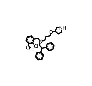 FC(F)(F)c1cccc(CN(CCCOC2CCNC2)CC(c2ccccc2)c2ccccc2)c1Cl